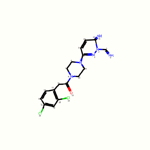 N=Cn1nc(N2CCN(C(=O)Cc3ccc(Cl)cc3Cl)CC2)ccc1=N